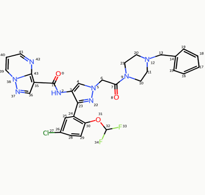 O=C(Nc1cn(CC(=O)N2CCN(Cc3ccccc3)CC2)nc1-c1cc(Cl)ccc1OC(F)F)c1cnn2cccnc12